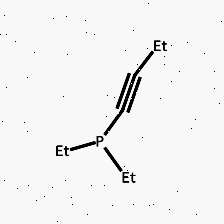 [CH2]CC#CP(CC)CC